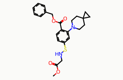 COC(=O)CNSc1ccc(C(=O)OCc2ccccc2)c(N2CCC3(CC2)CC3)c1